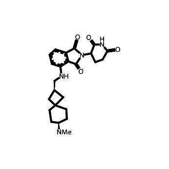 CN[C@H]1CCC2(CC1)C[C@H](CNc1cccc3c1C(=O)N(C1CCC(=O)NC1=O)C3=O)C2